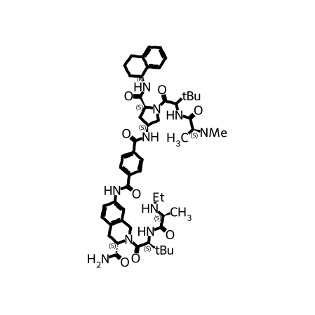 CCN[C@@H](C)C(=O)N[C@H](C(=O)N1Cc2cc(NC(=O)c3ccc(C(=O)N[C@H]4C[C@@H](C(=O)N[C@@H]5CCCc6ccccc65)N(C(=O)C(NC(=O)[C@H](C)NC)C(C)(C)C)C4)cc3)ccc2C[C@H]1C(N)=O)C(C)(C)C